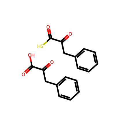 O=C(O)C(=O)Cc1ccccc1.O=C(S)C(=O)Cc1ccccc1